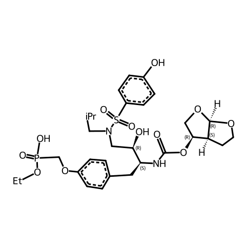 CCOP(=O)(O)COc1ccc(C[C@H](NC(=O)O[C@H]2CO[C@H]3OCC[C@H]32)[C@H](O)CN(CC(C)C)S(=O)(=O)c2ccc(O)cc2)cc1